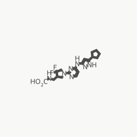 O=C(O)NCC1CN(c2nccc(Nc3cc(C4CCCC4)[nH]n3)n2)CC1(F)F